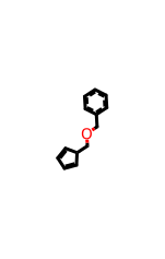 C1=CC(COCc2ccccc2)C=C1